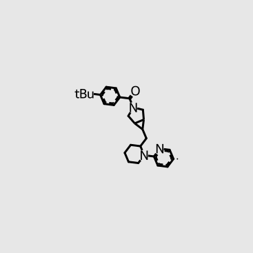 CC(C)(C)c1ccc(C(=O)N2CC3C(CC4CCCCN4c4cc[c]cn4)C3C2)cc1